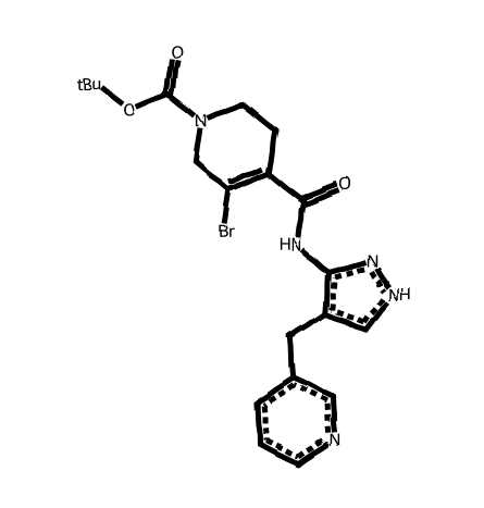 CC(C)(C)OC(=O)N1CCC(C(=O)Nc2n[nH]cc2Cc2cccnc2)=C(Br)C1